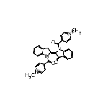 C[n+]1ccc(C(=O)N2/C(=C3\C(=O)c4ccccc4N3C(=O)c3cc[n+](C)cc3)Cc3ccccc32)cc1